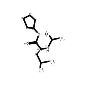 CC(C)C[C@H](NC(C)C)C(=O)OC1CCCC1